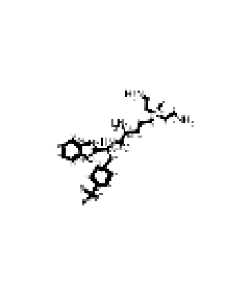 C[N+](CCN)(CCN)CCC[C@H](N)C(=O)N[C@@H](Cc1ccc(C(F)(F)F)cc1)c1nc2ccccc2o1